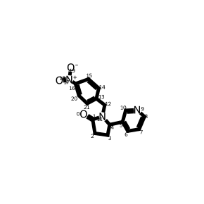 O=C1CCC(c2cccnc2)N1Cc1ccc([N+](=O)[O-])cc1